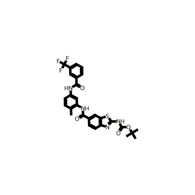 Cc1ccc(NC(=O)c2cccc(C(F)(F)F)c2)cc1NC(=O)c1ccc2nc(NC(=O)OC(C)(C)C)sc2c1